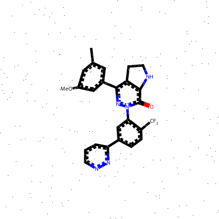 COc1cc(C)cc(-c2nn(-c3cc(-c4cccnn4)ccc3C(F)(F)F)c(=O)c3c2CCN3)c1